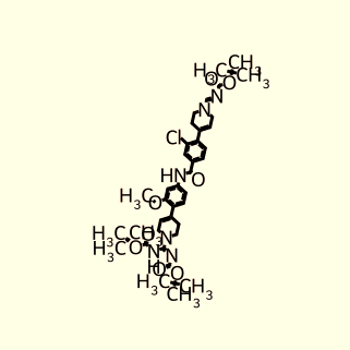 COc1cc(NC(=O)c2ccc(C3=CCN(C=NC(=O)OC(C)(C)C)CC3)c(Cl)c2)ccc1C1=CCN(C(=NC(=O)OC(C)(C)C)NC(=O)OC(C)(C)C)CC1